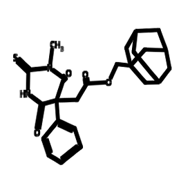 CN1C(=O)C(CC(=O)OCC23CC4CC(CC(C4)C2)C3)(c2ccccc2)C(=O)NC1=S